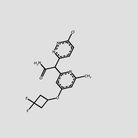 Cc1cc(OC2CC(F)(F)C2)cc(C(C(N)=O)c2ccc(Cl)nn2)n1